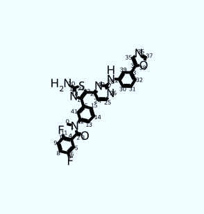 CN(C(=O)c1cc(F)ccc1F)c1cccc(-c2nc(N)sc2-c2ccnc(Nc3cccc(-c4cnco4)c3)n2)c1